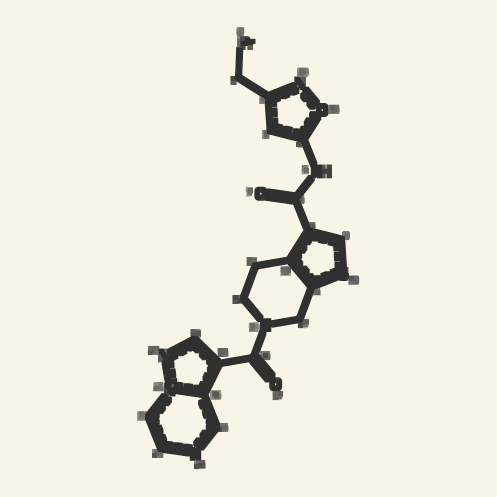 CC(C)Cc1cc(NC(=O)c2csc3c2CCN(C(=O)c2cnn4ccncc24)C3)on1